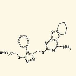 Nc1nc(SCc2nnc(SCC(=O)O)n2-c2ccccc2)nc2sc3c(c12)CCCC3